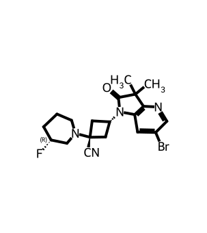 CC1(C)C(=O)N([C@H]2C[C@@](C#N)(N3CCC[C@@H](F)C3)C2)c2cc(Br)cnc21